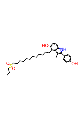 CCCS(=O)(=O)CCCCCCCCCCCCc1c(O)ccc2[nH]c(-c3ccc(O)cc3)c(C)c12